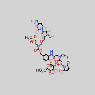 CN(CC(=O)Nc1cc(COC(=O)N(CCS(C)(=O)=O)COC[C@H]2O[C@@H](n3ccc(N)nc3=O)C(F)(F)[C@@H]2O)ccc1O[C@@H]1O[C@H](C(=O)O)[C@@H](O)[C@H](O)[C@H]1O)C(=O)CCN1C(=O)C=CC1=O